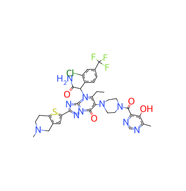 CCc1c(N2CCN(C(=O)c3ncnc(C)c3O)CC2)c(=O)n2nc(-c3cc4c(s3)CCN(C)C4)nc2n1C(C(N)=O)c1ccc(C(F)(F)F)cc1Cl